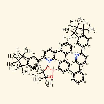 CC1(C)OB(c2cc(-c3ccccc3-c3ccc(-c4ccc5c(c4)C(C)(C)C(C)(C)C5(C)C)nc3)cc(-c3ccccc3-c3ccc(-c4ccc5c(c4)C(C)(C)C(C)(C)C5(C)C)nc3)c2)OC1(C)C